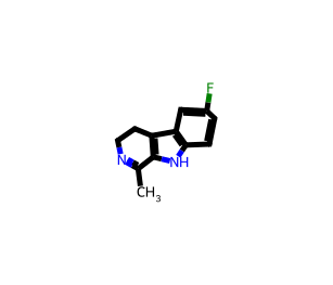 CC1=NCCc2c1[nH]c1ccc(F)cc21